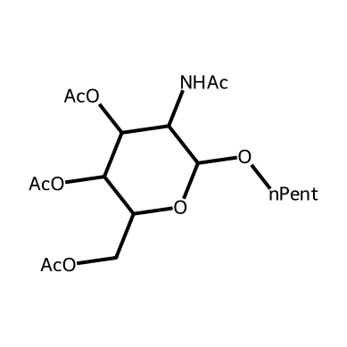 CCCCCOC1OC(COC(C)=O)C(OC(C)=O)C(OC(C)=O)C1NC(C)=O